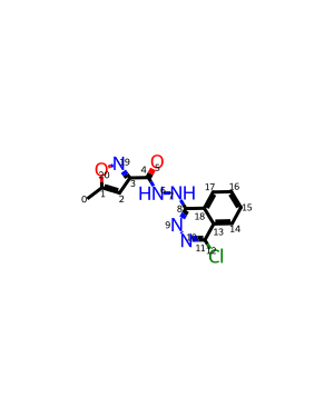 Cc1cc(C(=O)NNc2nnc(Cl)c3ccccc23)no1